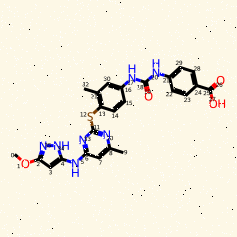 COc1cc(Nc2cc(C)nc(Sc3ccc(NC(=O)Nc4ccc(C(=O)O)cc4)cc3C)n2)[nH]n1